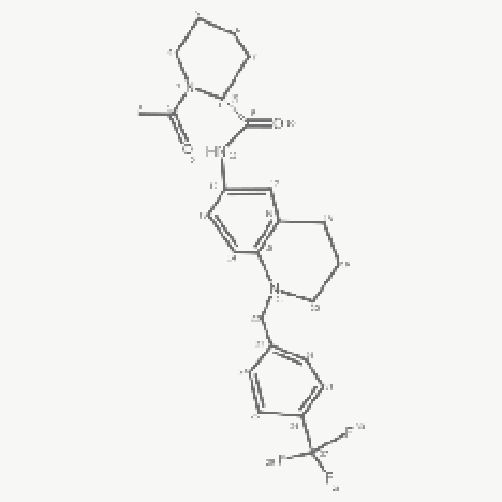 CC(=O)N1CCCC[C@@H]1C(=O)Nc1ccc2c(c1)CCCN2Cc1ccc(C(F)(F)F)cc1